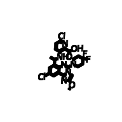 COc1cn2c(N3CCC(F)(F)CC3)nc3c(C(C)Nc4ccc(Cl)nc4C(=O)O)cc(Cl)cc3c2n1